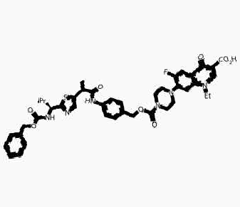 CCn1cc(C(=O)O)c(=O)c2cc(F)c(N3CCN(C(=O)OCc4ccc(NC(=O)C(C)c5cnc([C@@H](NC(=O)OCc6ccccc6)C(C)C)s5)cc4)CC3)cc21